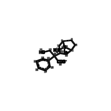 CC(C)[N+]1(C)C2CCC1CC(C(CO)(C(=O)[O-])c1ccccc1)C2